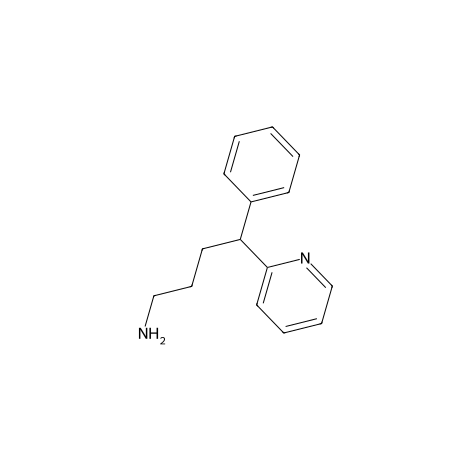 NCCCC(c1ccccc1)c1ccccn1